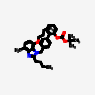 CCCCOc1ccc(C)c2nc(CCCC)n(Cc3ccc(-c4ccccc4OC(=O)OC(C)(C)C)cc3)c12